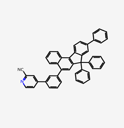 N#Cc1cc(-c2cccc(-c3cc4c(c5ccccc35)-c3ccc(-c5ccccc5)cc3C4(c3ccccc3)c3ccccc3)c2)ccn1